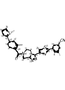 N#Cc1cccc(-c2nc(-c3nnc4n3CCN(C(=O)c3ccc(-c5cccs5)cc3)C4)cs2)c1